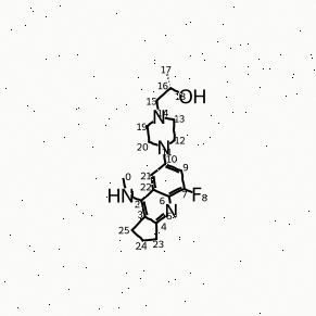 CNc1c2c(nc3c(F)cc(N4CCN(C[C@H](C)O)CC4)cc13)CCC2